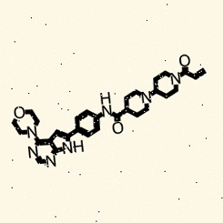 C=CC(=O)N1CCC(N2CCC(C(=O)Nc3ccc(-c4cc5c(N6CCOCC6)ncnc5[nH]4)cc3)CC2)CC1